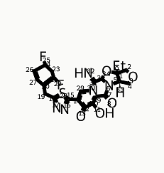 CC[C@@]12COC[C@H]1N1C(=O)c3c(O)c(=O)c(-c4nnc(CC5=C(F)CC(F)C=C5)s4)cn3C(=N)C1O2